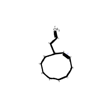 C=CCC1/C=C\CCCCCCC1